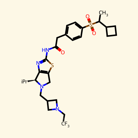 CC(C)[C@H]1c2nc(NC(=O)Cc3ccc(S(=O)(=O)C(C)C4CCC4)cc3)sc2CN1CC1CN(CC(F)(F)F)C1